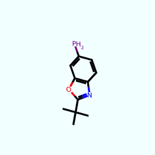 CC(C)(C)c1nc2ccc(P)cc2o1